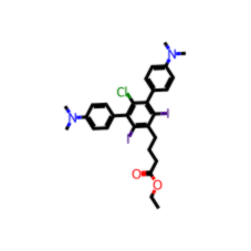 CCOC(=O)CCCc1c(I)c(-c2ccc(N(C)C)cc2)c(Cl)c(-c2ccc(N(C)C)cc2)c1I